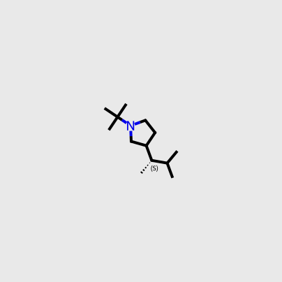 CC(C)[C@H](C)C1CCN(C(C)(C)C)C1